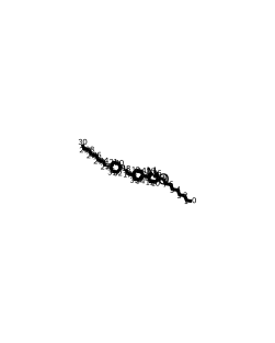 CCCCCCCCOc1ccc(-c2ccc(CC[C@H]3CC[C@H](CCCCCCCC)CC3)cc2)nc1